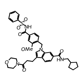 COc1cc(C(=O)NS(=O)(=O)c2ccccc2)ccc1Cn1cc(CCC(=O)N2CCOCC2)c2ccc(C(=O)NCC3CCCC3)cc21